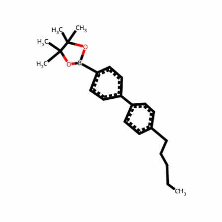 CCCCCc1ccc(-c2ccc(B3OC(C)(C)C(C)(C)O3)cc2)cc1